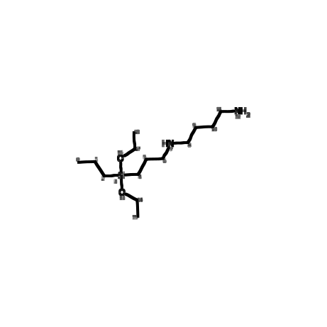 CCC[Si](CCCNCCCCN)(OCC)OCC